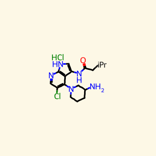 CC(C)CC(=O)Nc1c[nH]c2ncc(Cl)c(N3CCCC(N)C3)c12.Cl